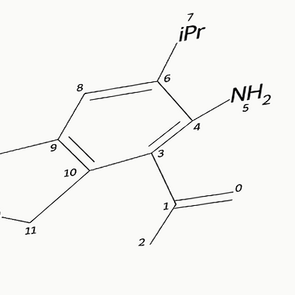 C=C(C)c1c(N)c(C(C)C)cc2c1COC2